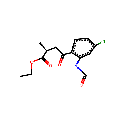 CCOC(=O)[C@@H](C)CC(=O)c1ccc(Cl)cc1NC=O